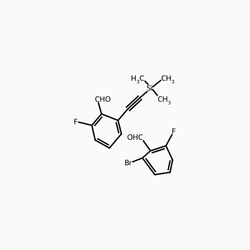 C[Si](C)(C)C#Cc1cccc(F)c1C=O.O=Cc1c(F)cccc1Br